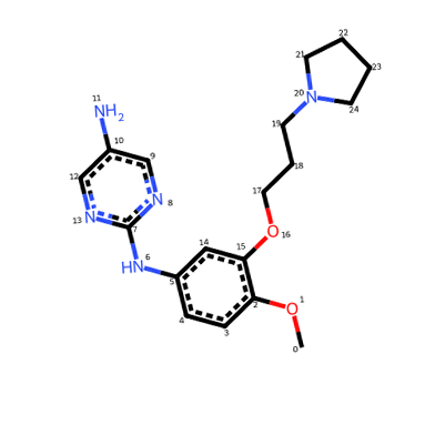 COc1ccc(Nc2ncc(N)cn2)cc1OCCCN1CCCC1